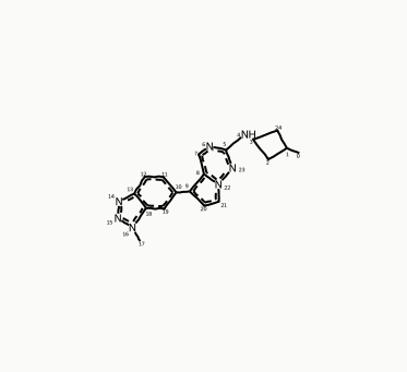 CC1CC(Nc2ncc3c(-c4ccc5nnn(C)c5c4)ccn3n2)C1